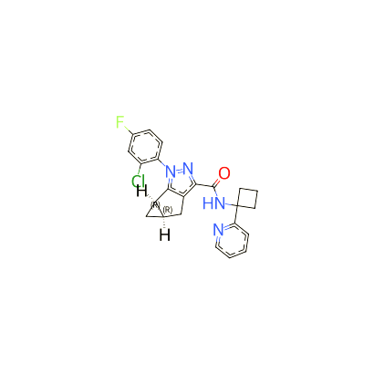 O=C(NC1(c2ccccn2)CCC1)c1nn(-c2ccc(F)cc2Cl)c2c1C[C@H]1C[C@@H]21